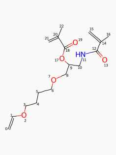 C=COCCCCOCC(CNC(=O)C(=C)C)OC(=O)C(=C)C